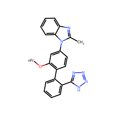 CCCOc1cc(-n2c(C)nc3ccccc32)ccc1-c1ccccc1-c1nnn[nH]1